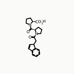 O=C(O)[C@@H]1CCCN1C(=O)[C@H]1CCCN1C(=O)CC1C=Cc2ccccc21